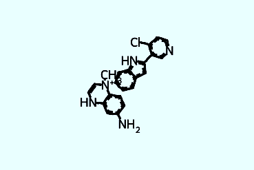 C[N+]1(c2ccc3cc(-c4cnccc4Cl)[nH]c3c2)C=CNc2cc(N)ccc21